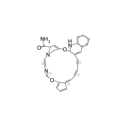 NC(=O)C1C=C2CN1/C=C\N=C/OC1=CC=C/C1=C/C=C\C=C/C1=Cc3ccccc3NC1O2